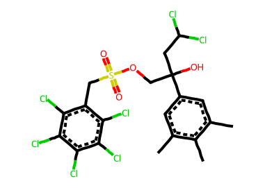 Cc1cc(C(O)(COS(=O)(=O)Cc2c(Cl)c(Cl)c(Cl)c(Cl)c2Cl)CC(Cl)Cl)cc(C)c1C